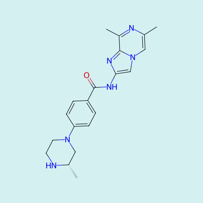 Cc1cn2cc(NC(=O)c3ccc(N4CCN[C@@H](C)C4)cc3)nc2c(C)n1